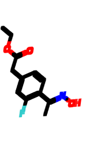 CCOC(=O)Cc1ccc(C(C)=NO)c(F)c1